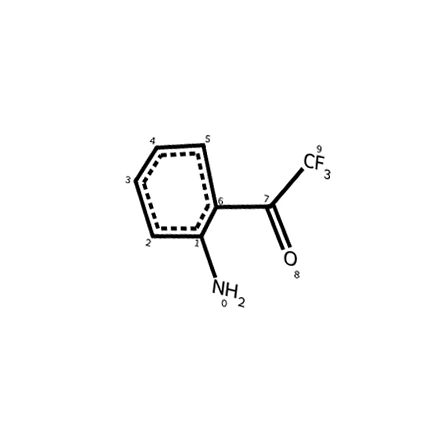 Nc1ccccc1C(=O)C(F)(F)F